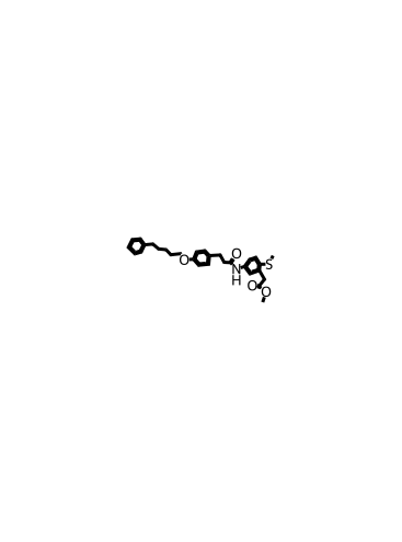 COC(=O)Cc1cc(NC(=O)CCc2ccc(OCCCCCc3ccccc3)cc2)ccc1SC